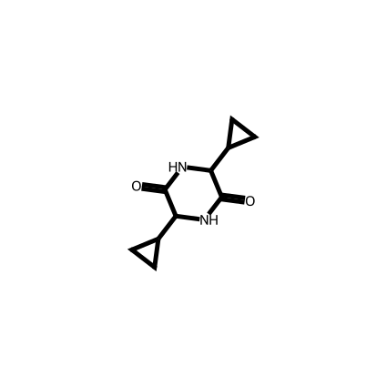 O=C1NC(C2CC2)C(=O)NC1C1CC1